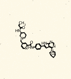 C=CC(=O)N[C@@H]1CCCN(Cc2ccnc(C(=O)Nc3ccc(-c4cc5c(N6CC7CC(C6)O7)ncnc5[nH]4)cc3)c2)C1